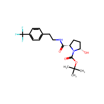 CC(C)(C)OC(=O)N1[C@@H](O)CC[C@H]1C(=O)NCCc1ccc(C(F)(F)F)cc1